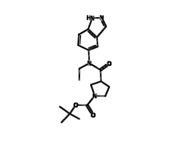 CCN(C(=O)C1CCN(C(=O)OC(C)(C)C)C1)c1ccc2[nH]ncc2c1